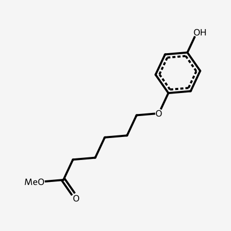 COC(=O)CCCCCOc1ccc(O)cc1